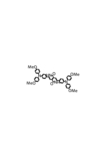 COc1ccc(N(c2ccc(OC)cc2)c2ccc(-c3cc4c(=O)[nH]c(-c5ccc(N(c6ccc(OC)cc6)c6ccc(OC)cc6)cc5)cc4c(=O)[nH]3)cc2)cc1